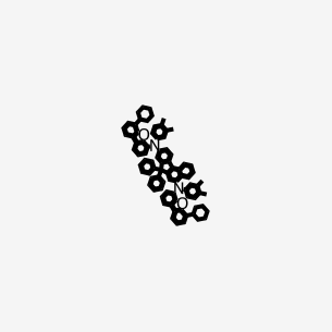 Cc1ccc(N(c2ccc3c(c2)C(c2ccccc2)(c2ccccc2)c2cc(N(c4ccc(C)c(C)c4)c4cccc5c4oc4c(C6CCCCC6)cccc45)c4ccccc4c2-3)c2cccc3c2oc2c(C4CCCCC4)cccc23)cc1C